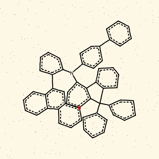 c1ccc(-c2ccc(N(c3ccccc3-c3cc4ccccc4c4ccccc34)c3cccc4c3-c3ccccc3C4(c3ccccc3)c3ccccc3)cc2)cc1